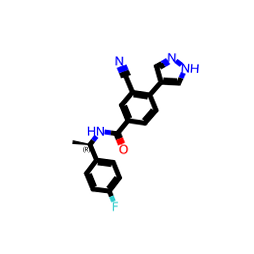 C[C@@H](NC(=O)c1ccc(-c2cn[nH]c2)c(C#N)c1)c1ccc(F)cc1